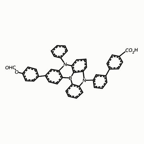 O=COc1ccc(-c2ccc3c(c2)N(c2ccccc2)c2cccc4c2B3c2ccccc2N4c2cccc(-c3ccc(C(=O)O)cc3)c2)cc1